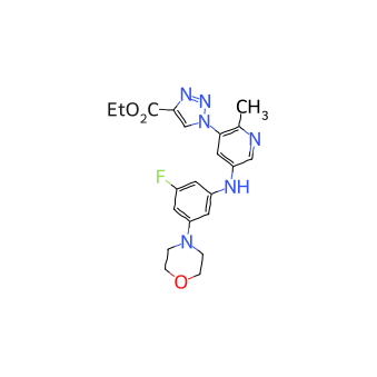 CCOC(=O)c1cn(-c2cc(Nc3cc(F)cc(N4CCOCC4)c3)cnc2C)nn1